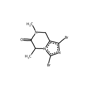 CC1C(=O)N(C)Cc2c(Br)nc(Br)n21